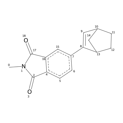 CN1C(=O)c2ccc(C3=CC4CCC3C4)cc2C1=O